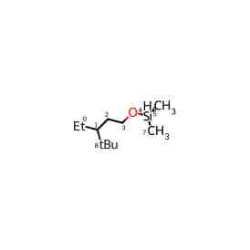 CCC(CCO[SiH](C)C)C(C)(C)C